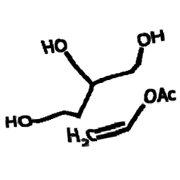 C=COC(C)=O.OCC(O)CO